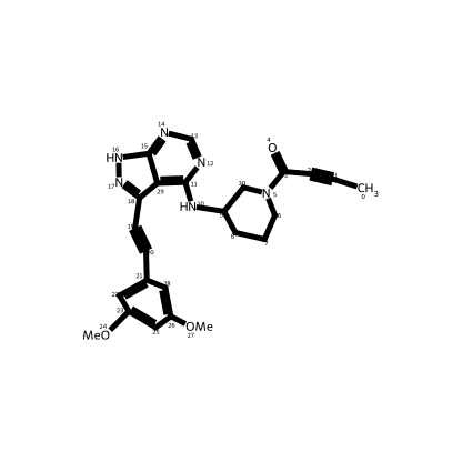 CC#CC(=O)N1CCCC(Nc2ncnc3[nH]nc(C#Cc4cc(OC)cc(OC)c4)c23)C1